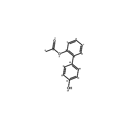 CC(=O)Oc1ccc[c]c1-c1ccc(O)cc1